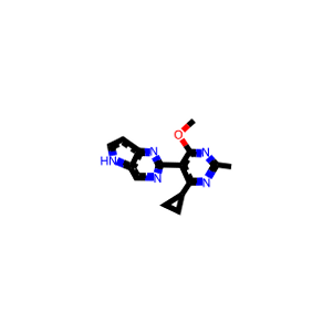 COc1nc(C)nc(C2CC2)c1-c1ncc2[nH]ccc2n1